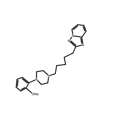 COc1ccccc1N1CCN(CCCCCc2nc3ccccn3n2)CC1